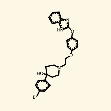 OC1(c2ccc(Br)cc2)CCN(CCOc2ccc(Oc3nc4ccccc4[nH]3)cc2)CC1